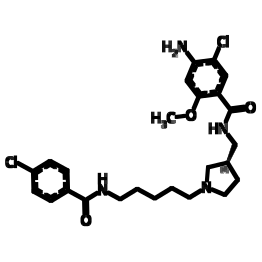 COc1cc(N)c(Cl)cc1C(=O)NC[C@H]1CCN(CCCCCNC(=O)c2ccc(Cl)cc2)C1